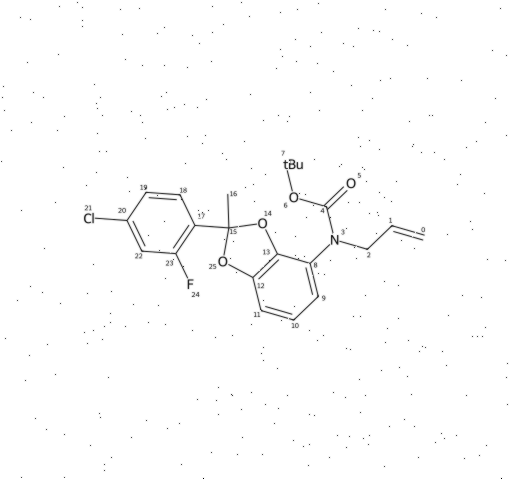 C=CCN(C(=O)OC(C)(C)C)c1cccc2c1OC(C)(c1ccc(Cl)cc1F)O2